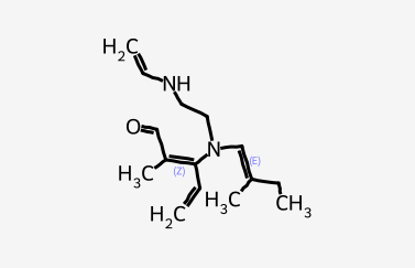 C=CNCCN(/C=C(\C)CC)/C(C=C)=C(/C)C=O